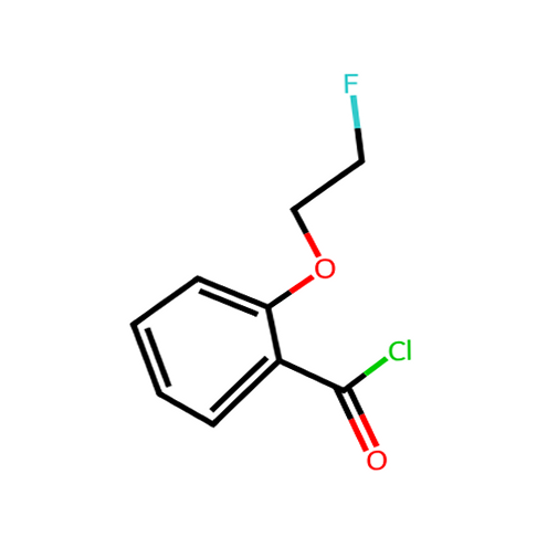 O=C(Cl)c1ccccc1OCCF